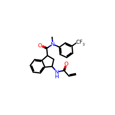 C=CC(=O)NC1CC(C(=O)N(C)c2cccc(C(F)(F)F)c2)c2ccccc21